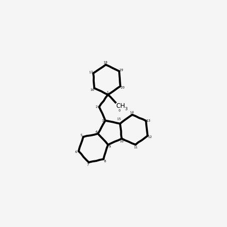 CC1(CC2C3CCCCC3C3CCCCC32)CCCCC1